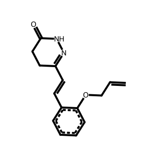 C=CCOc1ccccc1C=CC1=NNC(=O)CC1